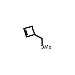 COCC1C=CC1